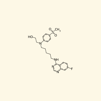 CS(=O)(=O)c1ccc(N(CCO)CCCCCNc2ncnc3cc(F)ccc23)cc1